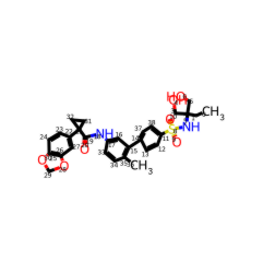 CCC(CO)(CO)NS(=O)(=O)c1ccc(-c2cc(NC(=O)C3(c4ccc5c(c4)OCO5)CC3)ccc2C)cc1